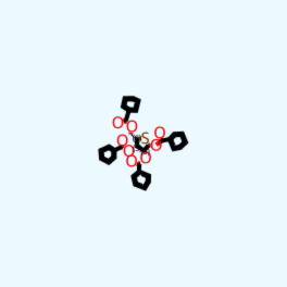 O=C(OC[C@@H]1SC(OC(=O)c2ccccc2)[C@@H](OC(=O)c2ccccc2)[C@@H]1OC(=O)c1ccccc1)c1ccccc1